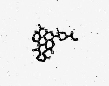 C=CC(=O)N1CCN(c2nc(=O)n(-c3c(C)ccnc3C(C)C)c3c2cc(Cl)c2c3[nH]c(=O)c3cccc(F)c32)[C@@H](C)C1